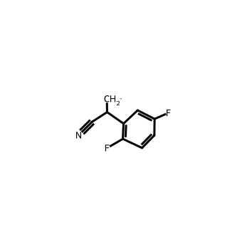 [CH2]C(C#N)c1cc(F)ccc1F